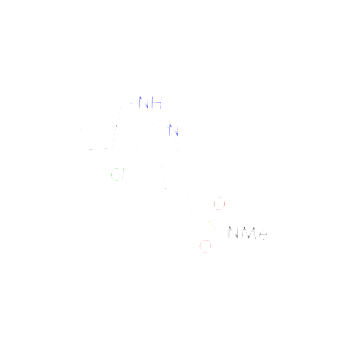 CNS(=O)(=O)c1cccc(-c2cnc3c(c2Cl)C2(CC=CC2)CN3)c1